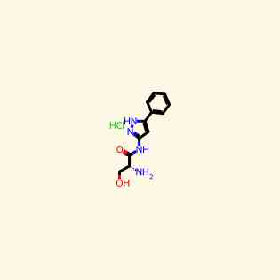 Cl.N[C@H](CO)C(=O)Nc1cc(-c2ccccc2)[nH]n1